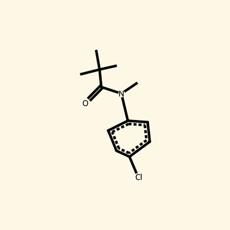 CN(C(=O)C(C)(C)C)c1ccc(Cl)cc1